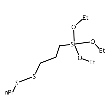 CCCSSCCC[Si](OCC)(OCC)OCC